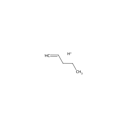 [CH]=CCCC.[H+]